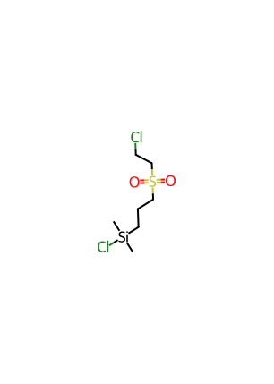 C[Si](C)(Cl)CCCS(=O)(=O)CCCl